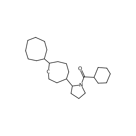 O=C(C1CCCCC1)N1CCCC1C1CCCC(C2CCCCCCC2)CCC1